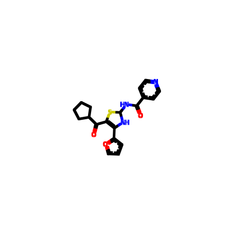 O=C(NC1NC(c2ccco2)=C(C(=O)C2CCCC2)S1)c1ccncc1